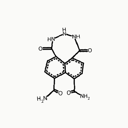 NC(=O)c1ccc2c3c(ccc(C(N)=O)c13)C(=O)NNNC2=O